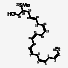 CC/C=C\C/C=C\C/C=C\C/C=C\C/C=C\C/C=C/CC(CO)SC